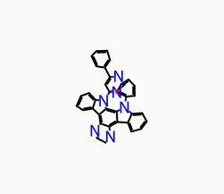 c1ccc(-c2cc(-n3c4ccccc4c4c5nccnc5c5c6ccccc6n(-c6ccccc6)c5c43)ncn2)cc1